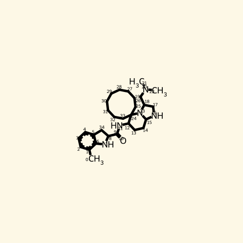 Cc1cccc2c1NC(C(=O)NC1CCC3NCC(CN(C)C)N3C13CCCCCCCCC3)C2